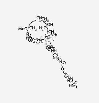 CCNC(=O)c1cnc(N2CCN(CCOCCC(=O)N3CCN(c4ncc(CNC(=O)O[C@@H]5CC[C@@H](C[C@@H](N)[C@@H]6C[C@@H](OC)[C@H](C)/C=C(\C)[C@@H](O)[C@@H](O)C(=O)[C@H](C)C[C@H](C)/C=C/C=C/C=C(\C)[C@@H](OC)C[C@@H]7CC[C@@H](C)[C@@](O)(O7)C(=O)C(=O)N7CCCC[C@H]7C(=O)O6)C[C@H]5OC)cn4)CC3)CC2)nc1